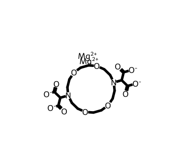 O=C([O-])C(C(=O)[O-])N1CCOCCOCCN(C(C(=O)[O-])C(=O)[O-])CCOCCOCC1.[Mg+2].[Mg+2]